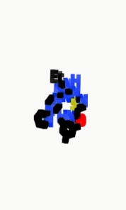 CCc1nc(Nc2ncc(C(=O)Nc3c(C)cc(C)cc3C)s2)nc(N2CCN(c3ccccn3)CC2)n1